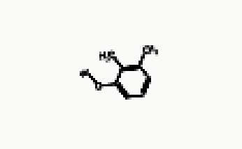 Cc1cccc([O][Al])c1C